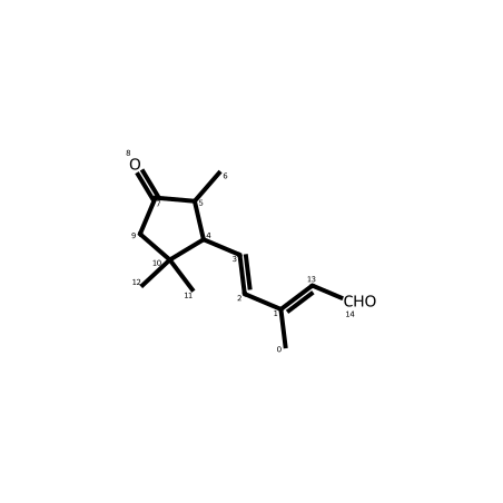 CC(C=CC1C(C)C(=O)CC1(C)C)=CC=O